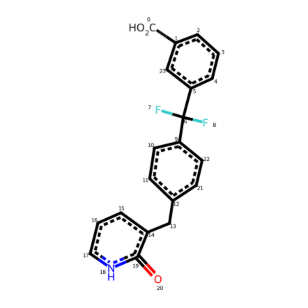 O=C(O)c1cccc(C(F)(F)c2ccc(Cc3ccc[nH]c3=O)cc2)c1